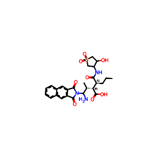 CCC[C@H](C(=O)NC1CS(=O)(=O)CC1O)[C@H](C(=O)O)C(C)C(N)N1C(=O)c2cc3ccccc3cc2C1=O